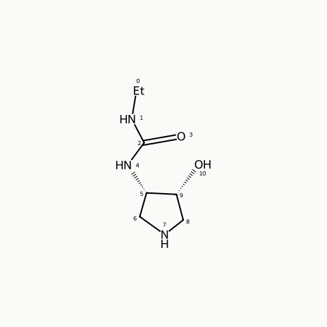 CCNC(=O)N[C@H]1CNC[C@H]1O